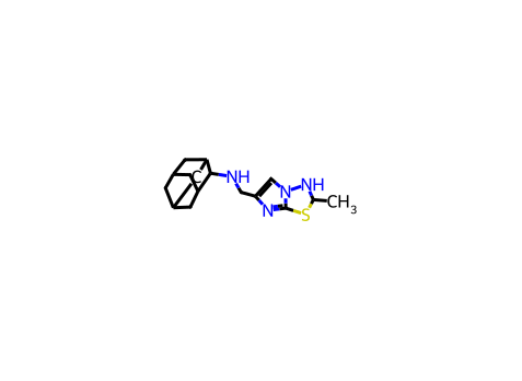 CC1Nn2cc(CNC3C4CC5CC(C4)CC3C5)nc2S1